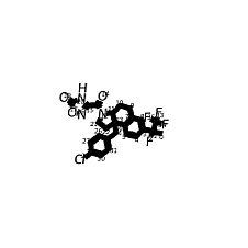 CC(F)(c1ccc2c(c1)CCC1N(C(=O)c3noc(=O)[nH]3)CCC21Cc1ccc(Cl)cc1)C(F)(F)F